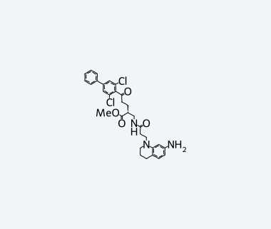 COC(=O)[C@@H](CCC(=O)c1c(Cl)cc(-c2ccccc2)cc1Cl)CNC(=O)CCN1CCCc2ccc(N)cc21